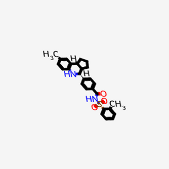 Cc1ccc2c(c1)[C@@H]1CCC[C@@H]1[C@H](c1ccc(C(=O)NS(=O)(=O)c3ccccc3C)cc1)N2